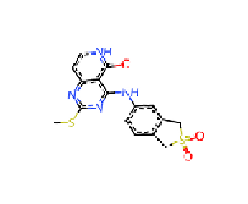 CSc1nc(Nc2ccc3c(c2)CS(=O)(=O)C3)c2c(=O)[nH]ccc2n1